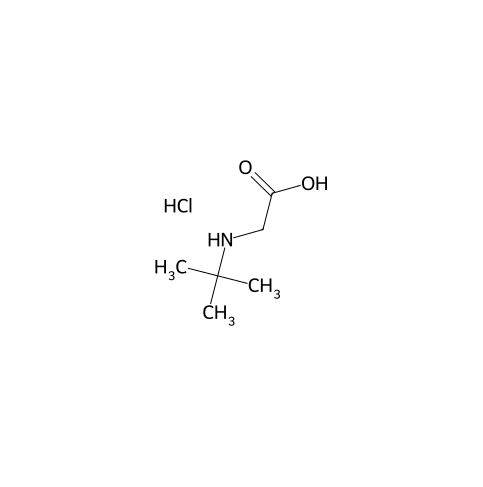 CC(C)(C)NCC(=O)O.Cl